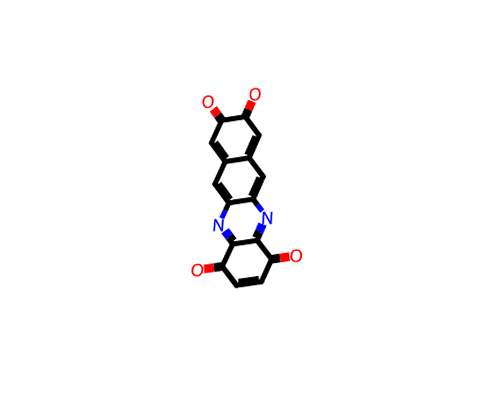 O=c1cc2cc3nc4c(=O)ccc(=O)c4nc3cc2cc1=O